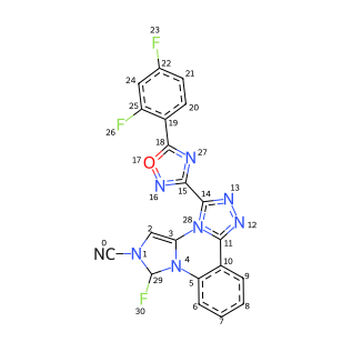 N#CN1C=C2N(c3ccccc3-c3nnc(-c4noc(-c5ccc(F)cc5F)n4)n32)C1F